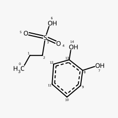 CCCS(=O)(=O)O.Oc1ccccc1O